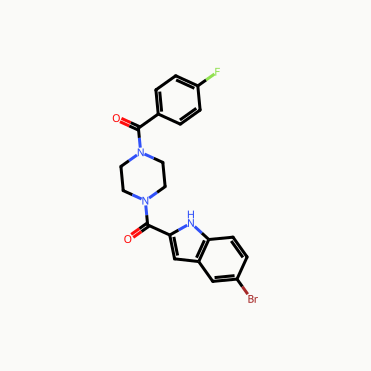 O=C(c1ccc(F)cc1)N1CCN(C(=O)c2cc3cc(Br)ccc3[nH]2)CC1